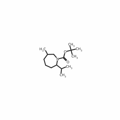 CC1CCCC(C(C)C)N(C(=O)OC(C)(C)C)C1